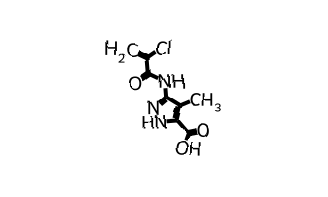 C=C(Cl)C(=O)Nc1n[nH]c(C(=O)O)c1C